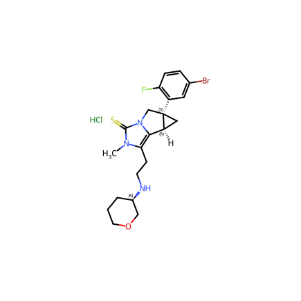 Cl.Cn1c(CCN[C@@H]2CCCOC2)c2n(c1=S)C[C@@]1(c3cc(Br)ccc3F)C[C@@H]21